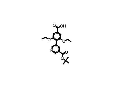 CCOc1cc(C(=O)O)cc(OCC)c1-c1cncc(C(=O)OC(C)(C)C)c1